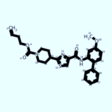 C=CCCOC(=O)N1CCC(c2nc(C(=O)Nc3cc(OC)ccc3-c3ccccc3)cs2)CC1